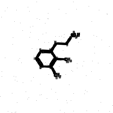 Cc1cccc(CCS(=O)(=O)O)c1C